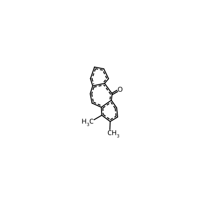 Cc1ccc2c(=O)c3ccccc3ccc2c1C